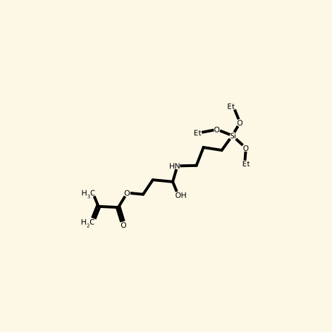 C=C(C)C(=O)OCCC(O)NCCC[Si](OCC)(OCC)OCC